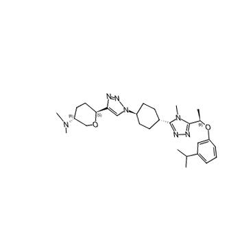 CC(C)c1cccc(O[C@H](C)c2nnc([C@H]3CC[C@H](n4cc([C@@H]5CC[C@@H](N(C)C)CO5)nn4)CC3)n2C)c1